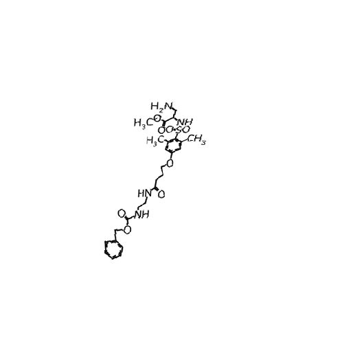 COC(=O)C(CN)NS(=O)(=O)c1c(C)cc(OCCCC(=O)NCCNC(=O)OCc2ccccc2)cc1C